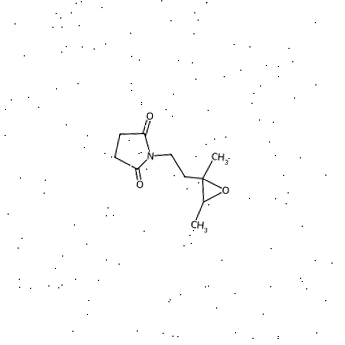 CC1OC1(C)CCN1C(=O)CCC1=O